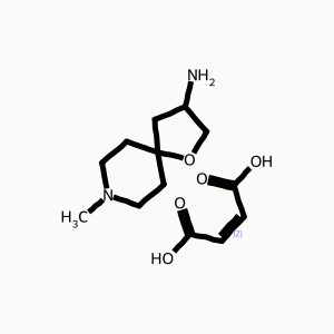 CN1CCC2(CC1)CC(N)CO2.O=C(O)/C=C\C(=O)O